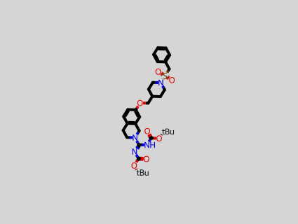 CC(C)(C)OC(=O)/N=C(\NC(=O)OC(C)(C)C)N1CCc2ccc(OCC3CCN(S(=O)(=O)Cc4ccccc4)CC3)cc2C1